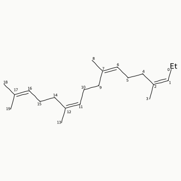 [C]CC=C(C)CCC=C(C)CCC=C(C)CCC=C(C)C